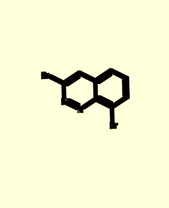 Brc1cc2cccc(Br)c2nn1